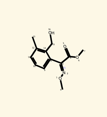 CO/N=C(/C(=O)OC)c1cccc(C)c1CO